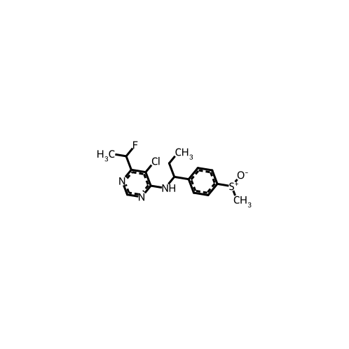 CCC(Nc1ncnc(C(C)F)c1Cl)c1ccc([S+](C)[O-])cc1